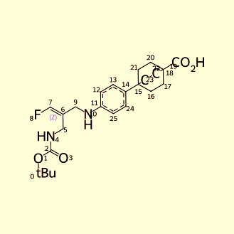 CC(C)(C)OC(=O)NC/C(=C\F)CNc1ccc(C23CCC(C(=O)O)(CC2)CC3)cc1